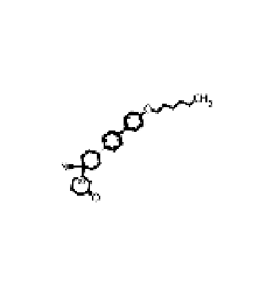 CCCCCCOc1ccc(-c2ccc([C@H]3CC[C@@](C#N)([C@@H]4CCCC(=O)C4)CC3)cc2)cc1